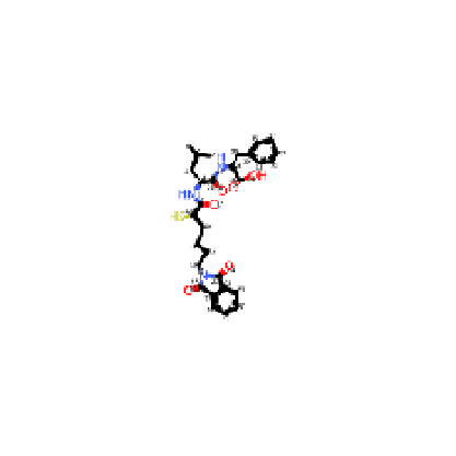 CC(C)C[C@H](NC(=O)C(S)CCCCN1C(=O)c2ccccc2C1=O)C(=O)N[C@@H](Cc1ccccc1)C(=O)O